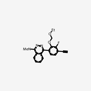 C#Cc1ccc(-c2nnc(NC)c3ccccc23)c(OCOCC)c1F